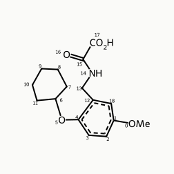 COc1ccc(OC2CCCCC2)c(CNC(=O)C(=O)O)c1